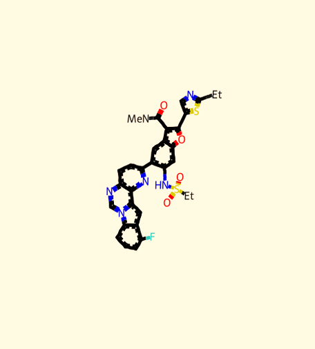 CCc1ncc(-c2oc3cc(NS(=O)(=O)CC)c(-c4ccc5ncn6c7cccc(F)c7cc6c5n4)cc3c2C(=O)NC)s1